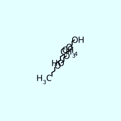 C.CCCCCOCCCCC.OCCOCCOCCO